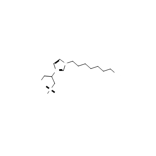 CCCCCCCCn1cc[n+](C(CC)CS(=O)(=O)[O-])c1